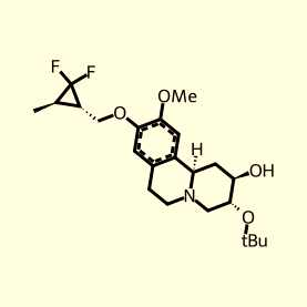 COc1cc2c(cc1OC[C@@H]1[C@@H](C)C1(F)F)CCN1C[C@@H](OC(C)(C)C)[C@H](O)C[C@H]21